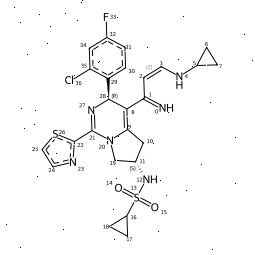 N=C(/C=C\NC1CC1)C1=C2C[C@H](NS(=O)(=O)C3CC3)CN2C(c2nccs2)=N[C@H]1c1ccc(F)cc1Cl